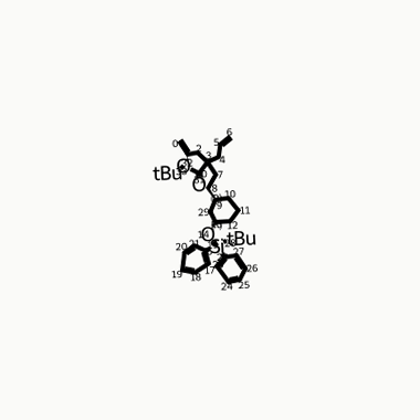 C=CCC(CC=C)(CC[C@H]1CCC[C@@H](O[Si](c2ccccc2)(c2ccccc2)C(C)(C)C)C1)C(=O)OC(C)(C)C